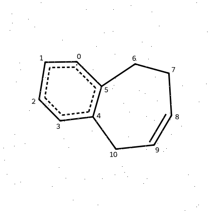 [c]1cccc2c1CCC=CC2